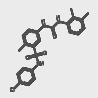 Cc1ccc(NC(=O)Nc2cccc(C)c2C)cc1S(=O)(=O)Nc1ccc(Cl)cc1